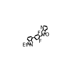 CCn1ncc2c(-c3cc(F)c(CN4Cc5ncccc5C4=O)c(F)c3)cccc21